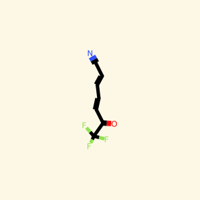 N#C/C=C/C=C/C(=O)C(F)(F)F